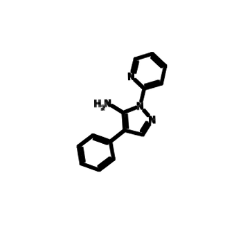 Nc1c(-c2ccccc2)cnn1-c1ccccn1